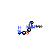 COC[C@H]1CCCN1Cc1nc2cc(Oc3ccc(-c4ccn[nH]4)cc3)ccc2[nH]1